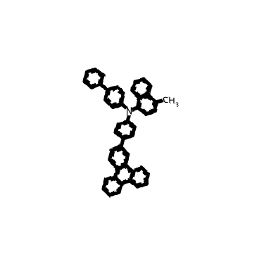 Cc1ccc(N(c2ccc(-c3ccccc3)cc2)c2ccc(-c3ccc4c5ccccc5c5ccccc5c4c3)cc2)c2ccccc12